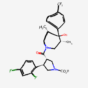 C[C@@H]1CN(C(=O)[C@@H]2CN(C(=O)O)C[C@H]2c2ccc(F)cc2F)C[C@H](C)C1(O)c1ccc(C(F)(F)F)cc1